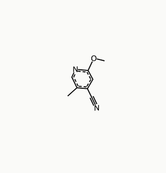 COc1cc(C#N)c(C)cn1